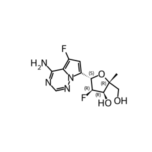 C[C@]1(CO)O[C@@H](c2cc(F)c3c(N)ncnn23)[C@H](F)[C@@H]1O